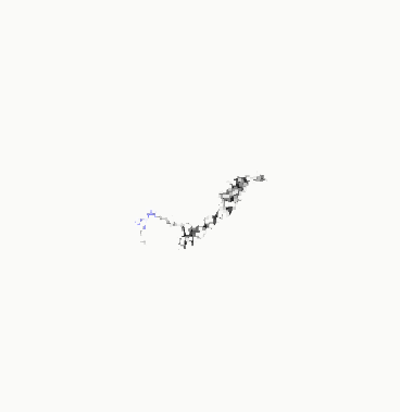 CCCCC/C=C\C/C=C\CCCCCCCCOC[C@@H](CN1CCCCC1)OCCOCCO[C@H]1CC[C@@]2(C)C(=CCC3C2CC[C@@]2(C)C3CC[C@@H]2[C@H](C)CCCC(C)C)C1